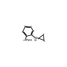 CCCCCc1ccccc1NC1CC1